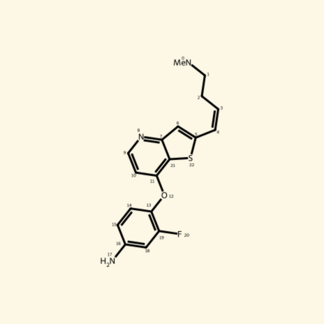 CNCC/C=C\c1cc2nccc(Oc3ccc(N)cc3F)c2s1